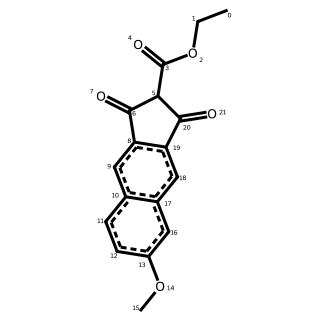 CCOC(=O)C1C(=O)c2cc3ccc(OC)cc3cc2C1=O